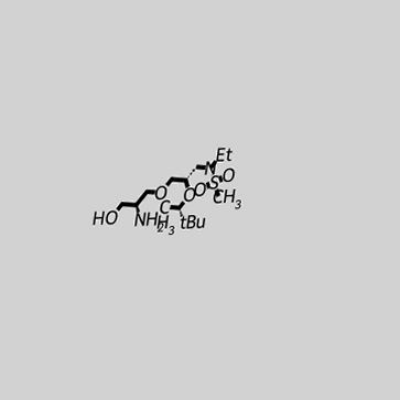 CCN(C[C@@H](COC[C@@H](N)CO)O[C@@H](C)C(C)(C)C)S(C)(=O)=O